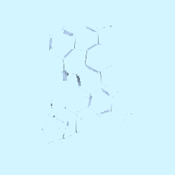 C#Cc1cccc2cc(O)cc(-c3c(F)cc4c(N5C[C@H]6CC[C@](C)(C5)N6)nc(OC)nc4c3F)c12